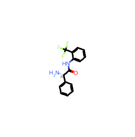 N[C@H](C(=O)Nc1ccccc1C(F)(F)F)c1ccccc1